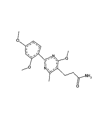 COc1ccc(-c2nc(C)c(CCC(N)=O)c(OC)n2)c(OC)c1